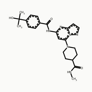 CNC(=O)C1CCN(c2cc(NC(=O)c3ccc(C(C)(C)O)cc3)nc3ccnn23)CC1